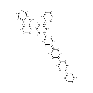 c1ccc(-c2ccc(-c3ccc(-c4ccc(-c5nc(-c6ccccc6)nc(-c6cccc7c6oc6ccccc67)n5)cc4)cc3)cc2)cc1